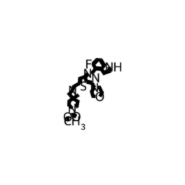 COC(=O)N1CCC2(CC1)CN(Cc1cc3nc(-c4c(F)ccc5[nH]ccc45)nc(N4CCOCC4)c3s1)C2